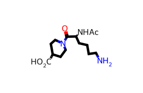 CC(=O)N[C@@H](CCCCN)C(=O)N1CCC(C(=O)O)CC1